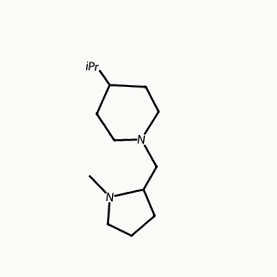 CC(C)C1CCN(CC2CCCN2C)CC1